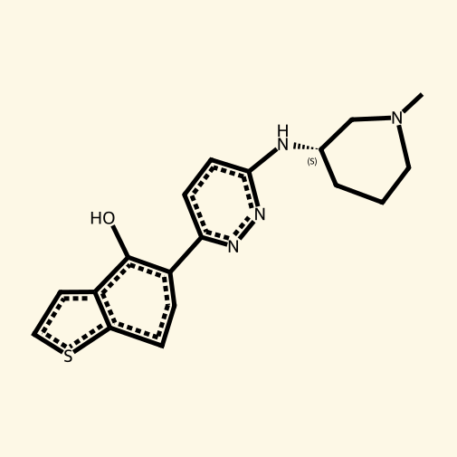 CN1CCC[C@H](Nc2ccc(-c3ccc4sccc4c3O)nn2)C1